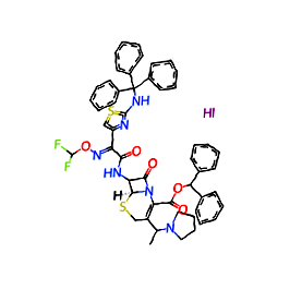 CC(C1=C(C(=O)OC(c2ccccc2)c2ccccc2)N2C(=O)C(NC(=O)C(=NOC(F)F)c3csc(NC(c4ccccc4)(c4ccccc4)c4ccccc4)n3)[C@@H]2SC1)N1CCCC1.I